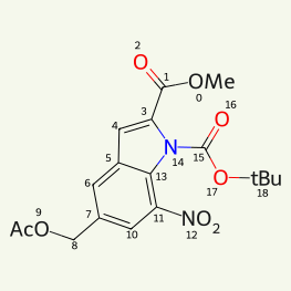 COC(=O)c1cc2cc(COC(C)=O)cc([N+](=O)[O-])c2n1C(=O)OC(C)(C)C